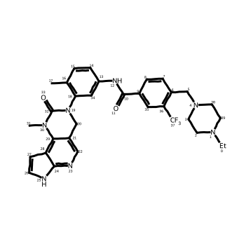 CCN1CCN(Cc2ccc(C(=O)Nc3ccc(C)c(N4Cc5cnc6[nH]ccc6c5N(C)C4=O)c3)cc2C(F)(F)F)CC1